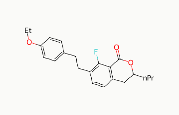 CCCC1Cc2ccc(CCc3ccc(OCC)cc3)c(F)c2C(=O)O1